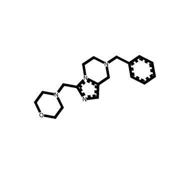 c1ccc(CN2CCn3c(cnc3CN3CCOCC3)C2)cc1